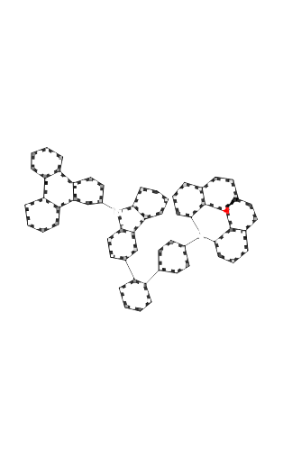 c1ccc(-c2ccc3c(c2)c2ccccc2n3-c2ccc3c4ccccc4c4ccccc4c3c2)c(-c2ccc(N(c3cccc4ccccc34)c3cccc4ccccc34)cc2)c1